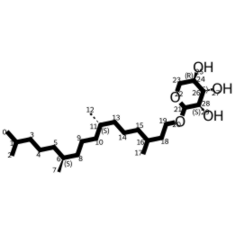 CC(C)CCC[C@H](C)CCC[C@H](C)CCCC(C)CCOC1OC[C@@H](O)[C@H](O)[C@@H]1O